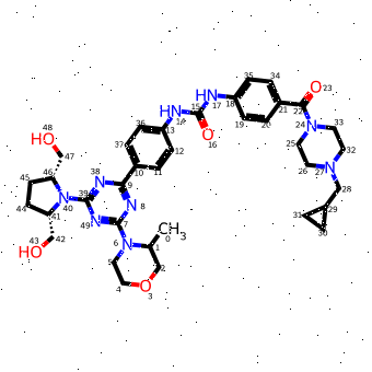 CC1COCCN1c1nc(-c2ccc(NC(=O)Nc3ccc(C(=O)N4CCN(CC5CC5)CC4)cc3)cc2)nc(N2[C@H](CO)CC[C@@H]2CO)n1